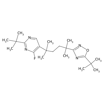 CC(C)(C)c1ncc(C(C)(C)CCC(C)(C)c2noc(C(C)(C)C)n2)c(F)n1